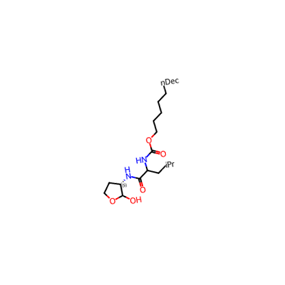 CCCCCCCCCCCCCCCOC(=O)NC(CC(C)C)C(=O)N[C@H]1CCOC1O